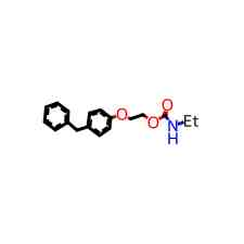 CCNC(=O)OCCOc1ccc(Cc2ccccc2)cc1